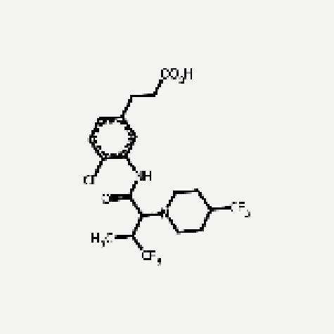 CC(C(C(=O)Nc1cc(CCC(=O)O)ccc1Cl)N1CCC(C(F)(F)F)CC1)C(F)(F)F